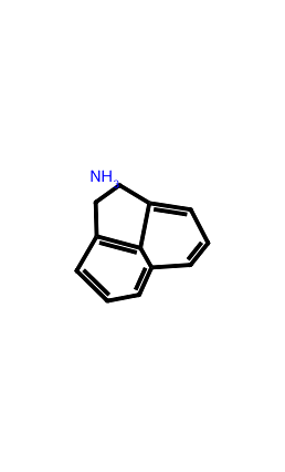 N.c1cc2c3c(cccc3c1)CC2